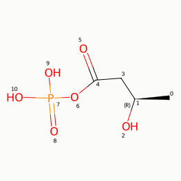 C[C@@H](O)CC(=O)OP(=O)(O)O